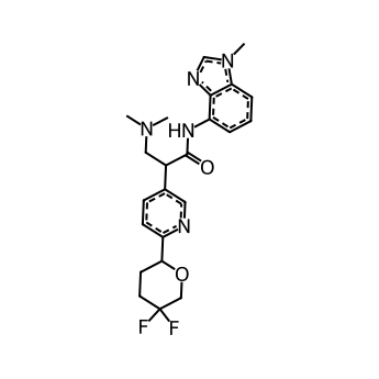 CN(C)CC(C(=O)Nc1cccc2c1ncn2C)c1ccc(C2CCC(F)(F)CO2)nc1